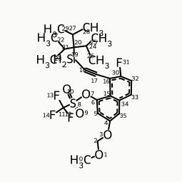 COCOc1cc(OS(=O)(=O)C(F)(F)F)c2c(C#C[SiH2]C(C(C)C)(C(C)C)C(C)C)c(F)ccc2c1